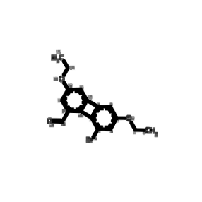 CCOc1cc(Br)c2c(c1)-c1cc(OCC)cc(C=O)c1-2